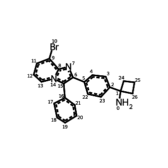 NC1(c2ccc(-c3nc4c(Br)cccn4c3-c3ccccc3)cc2)CCC1